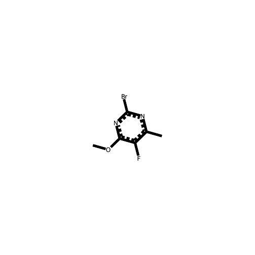 COc1nc(Br)nc(C)c1F